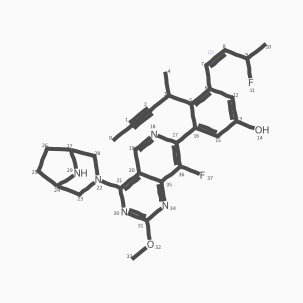 CC#CC(C)c1c(/C=C\C(C)F)cc(O)cc1-c1ncc2c(N3CC4CCC(C3)N4)nc(OC)nc2c1F